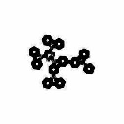 c1ccc(-n2c3ccccc3c3cc(-c4ccc5c(c4)c4cc(-n6c7ccccc7c7ccccc76)ccc4n5-c4nc(-n5c6ccccc6c6ccccc65)cc(-n5c6ccccc6c6ccccc65)n4)ccc32)cc1